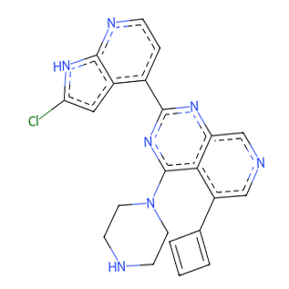 Clc1cc2c(-c3nc(N4CCNCC4)c4c(C5=CC=C5)cncc4n3)ccnc2[nH]1